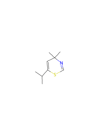 CC(C)C1=CC(C)(C)N=CS1